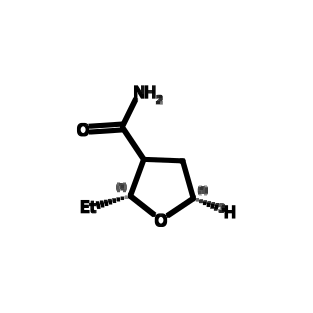 [3H][C@H]1CC(C(N)=O)[C@@H](CC)O1